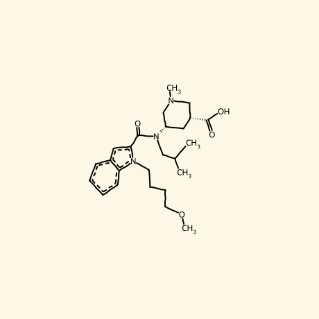 COCCCCn1c(C(=O)N(CC(C)C)[C@H]2C[C@@H](C(=O)O)CN(C)C2)cc2ccccc21